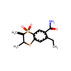 C=C1C(C)Sc2cc(CC)c(C(N)=O)cc2S1(=O)=O